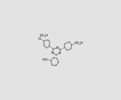 O=S(=O)(O)Oc1ccc(-c2ncnc(-c3ccc(S(=O)(=O)O)cc3)n2)cc1.Oc1ccccc1